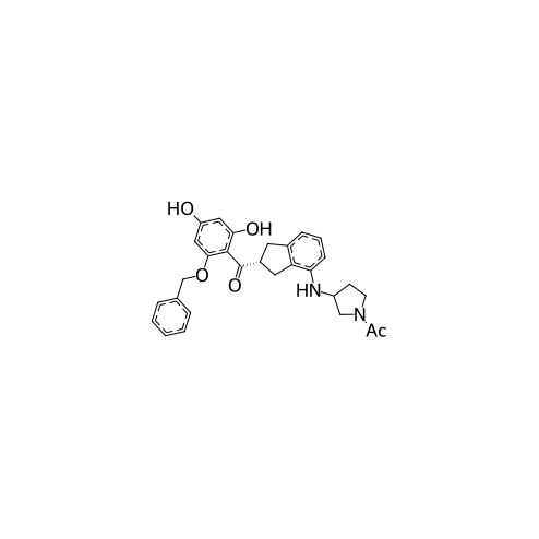 CC(=O)N1CCC(Nc2cccc3c2C[C@H](C(=O)c2c(O)cc(O)cc2OCc2ccccc2)C3)C1